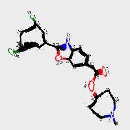 CN1CCC(OC(=O)c2ccc3nc(-c4cc(Cl)cc(Cl)c4)oc3c2)CC1